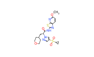 COc1ccc2nc(NC(=O)[C@H](CC3CCOCC3)n3cc(S(=O)(=O)C4CC4)cn3)sc2n1